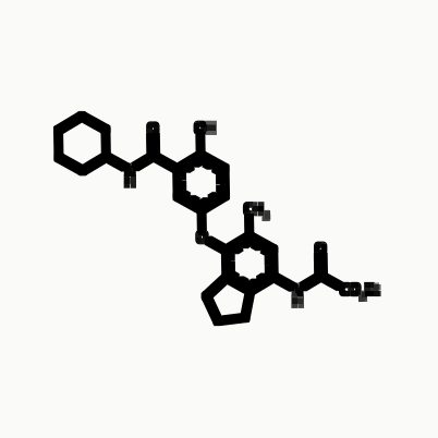 CCOC(=O)C(=O)Nc1cc(C)c(Oc2ccc(O)c(C(=O)NC3CCCCC3)c2)c2c1CCC2